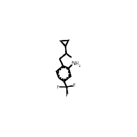 CC(Cc1ccc(C(F)(F)F)cc1N)C1CC1